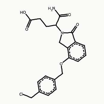 NC(=O)C(CCC(=O)O)N1Cc2c(OCc3ccc(CCl)cc3)cccc2C1=O